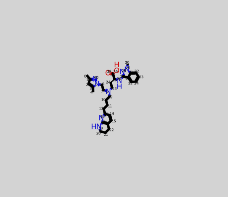 Cc1cc(C)n(CCN(CCCCc2ccc3c(n2)NCCC3)CC[C@H](Nc2nn(C)c3ccccc23)C(=O)O)n1